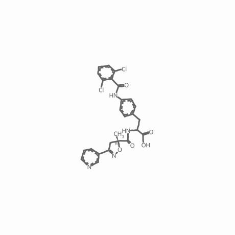 C[C@]1(C(=O)NC(Cc2ccc(NC(=O)c3c(Cl)cccc3Cl)cc2)C(=O)O)CC(c2cccnc2)=NO1